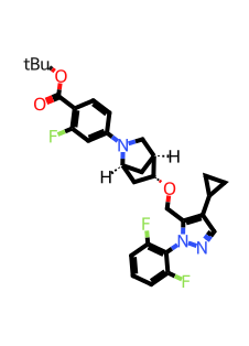 CC(C)(C)OC(=O)c1ccc(N2C[C@@H]3C[C@H]2C[C@H]3OCc2c(C3CC3)cnn2-c2c(F)cccc2F)cc1F